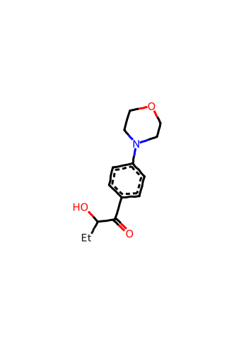 CCC(O)C(=O)c1ccc(N2CCOCC2)cc1